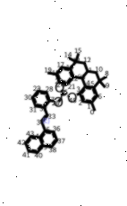 Cc1cc2c3c(c1)C(C)(C)CC1CC(C)(C)c4cc(C)cc(c4C31)OP(Oc1ccccc1/C=C/c1cccc3ccccc13)O2